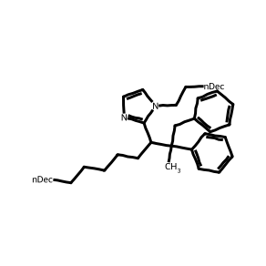 CCCCCCCCCCCCCCCC(c1nccn1CCCCCCCCCCCC)C(C)(Cc1ccccc1)c1ccccc1